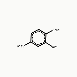 CC[CH]c1cc(SC)ccc1SC